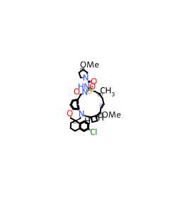 CO[C@H]1CCN(C(=O)N[S@@]2(=O)=NC(=O)c3ccc4c(c3)N(C[C@@H]3CC[C@H]3[C@@H](OC)/C=C/C[C@H](C)C2)C[C@@]2(CCCc3cc(Cl)ccc32)CO4)C1